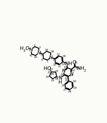 CN1CCN(C2CCN(c3ccc(Nc4nc(N[C@@H]5CC[C@@H](O)C5)c(-c5ccccc5)nc4C(N)=O)cc3)CC2)CC1